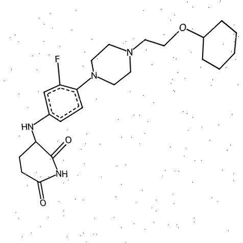 O=C1CCC(Nc2ccc(N3CCN(CCOC4CCCCC4)CC3)c(F)c2)C(=O)N1